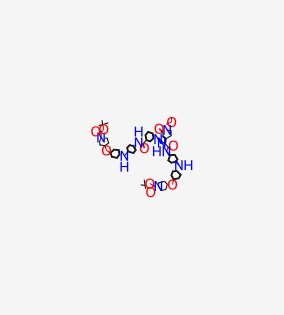 COCN1CCc2c(C(=O)Nc3ccc(Nc4ccc(OC5CCN(C(=O)OC(C)(C)C)CC5)cc4)cc3)nn(-c3cccc(C(=O)Nc4ccc(Nc5ccc(OC6CCN(C(=O)OC(C)(C)C)CC6)cc5)cc4)c3)c2C1=O